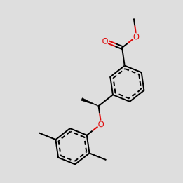 COC(=O)c1cccc([C@H](C)Oc2cc(C)ccc2C)c1